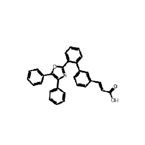 O=C(O)/C=C/c1cccc(-c2ccccc2-c2nc(-c3ccccc3)c(-c3ccccc3)o2)c1